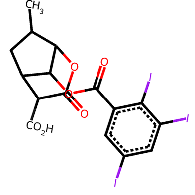 CC1CC2C(C(=O)O)C(=O)OC1C2OC(=O)c1cc(I)cc(I)c1I